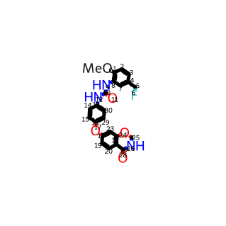 COc1ccc(CF)cc1NC(=O)Nc1ccc(Oc2ccc3c(c2)OCNC3=O)cc1